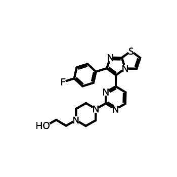 OCCN1CCN(c2nccc(-c3c(-c4ccc(F)cc4)nc4sccn34)n2)CC1